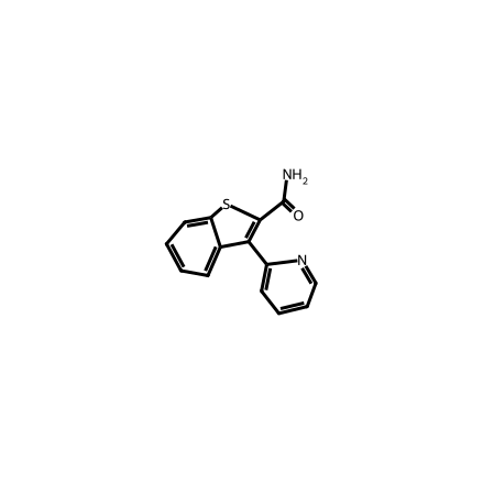 NC(=O)c1sc2ccccc2c1-c1ccccn1